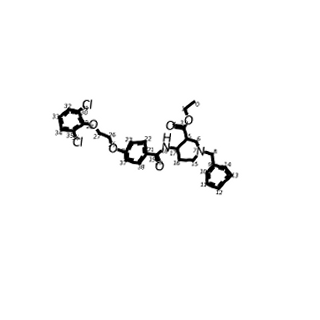 CCOC(=O)C1CN(Cc2ccccc2)CCC1NC(=O)c1ccc(OCCOc2c(Cl)cccc2Cl)cc1